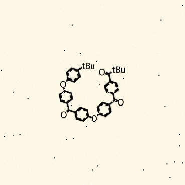 CC(C)(C)C(=O)c1ccc(C(=O)c2ccc(Oc3ccc(C(=O)c4ccc(Oc5ccc(C(C)(C)C)cc5)cc4)cc3)cc2)cc1